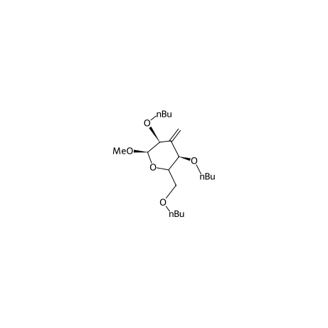 C=C1[C@@H](OCCCC)C(COCCCC)O[C@@H](OC)[C@H]1OCCCC